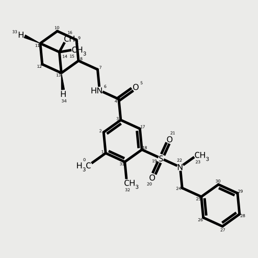 Cc1cc(C(=O)NCC2CC[C@H]3C[C@@H]2C3(C)C)cc(S(=O)(=O)N(C)Cc2ccccc2)c1C